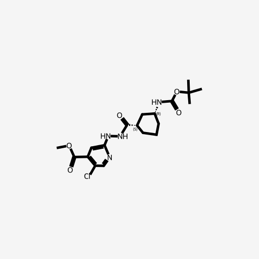 COC(=O)c1cc(NNC(=O)[C@H]2CCC[C@@H](NC(=O)OC(C)(C)C)C2)ncc1Cl